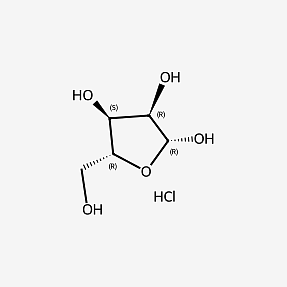 Cl.OC[C@H]1O[C@@H](O)[C@H](O)[C@@H]1O